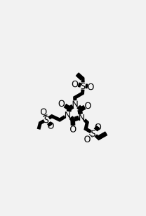 C=CS(=O)(=O)CCn1c(=O)n(CCS(=O)(=O)C=C)c(=O)n(CCS(=O)(=O)CC)c1=O